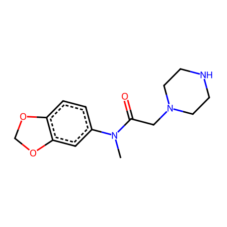 CN(C(=O)CN1CCNCC1)c1ccc2c(c1)OCO2